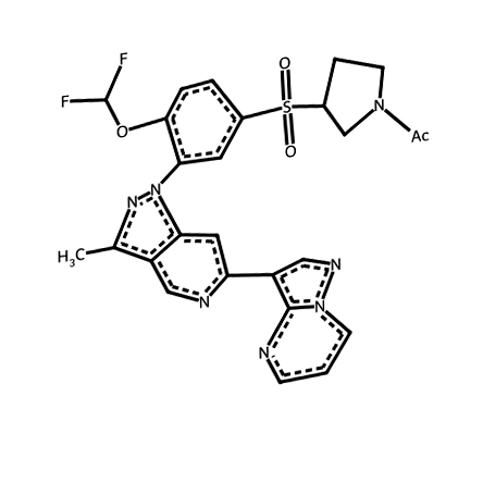 CC(=O)N1CCC(S(=O)(=O)c2ccc(OC(F)F)c(-n3nc(C)c4cnc(-c5cnn6cccnc56)cc43)c2)C1